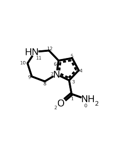 NC(=O)c1ccc2n1CCCNC2